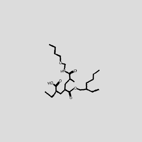 CCCCOCNC(=O)C(C)CC(CC(CC)C(=O)O)C(=O)OCC(CC)CCCC